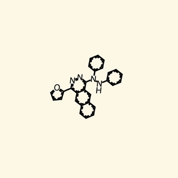 c1ccc(NN(c2ccccc2)c2nnc(-c3ccco3)c3cc4ccccc4cc23)cc1